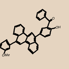 COc1cccc(-c2cc3c4ccccc4c(-c4ccc(O)c(C(=O)c5ccccc5)c4)cc3c3ccccc23)c1